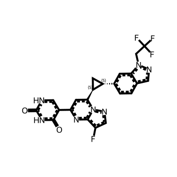 O=c1[nH]cc(-c2cc([C@H]3C[C@@H]3c3ccc4cnn(CC(F)(F)F)c4c3)n3ncc(F)c3n2)c(=O)[nH]1